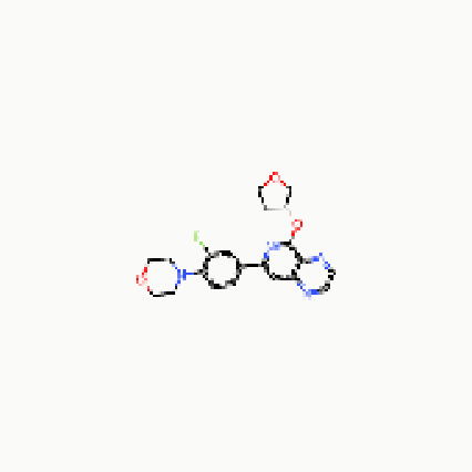 Fc1cc(-c2cc3nccnc3c(O[C@@H]3CCOC3)n2)ccc1N1CCOCC1